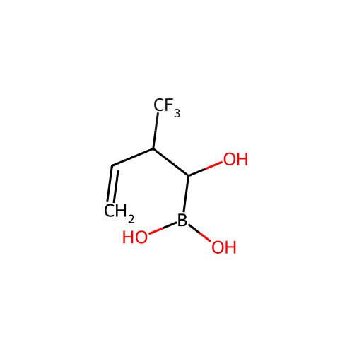 C=CC(C(O)B(O)O)C(F)(F)F